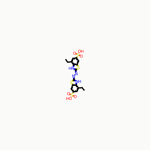 CCc1cc(S(=O)(=O)O)cc2sc(=NN=c3[nH]c4c(CC)cc(S(=O)(=O)O)cc4s3)[nH]c12